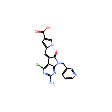 Nc1nc(Cl)c2c(n1)N(Cc1cccnc1)C(=O)C2=Cc1cc(C(=O)O)c[nH]1